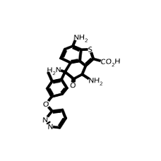 Cc1cc(Oc2cccnn2)ccc1C1(N)C(=O)C(N)c2c(C(=O)O)sc3c(N)ccc1c23